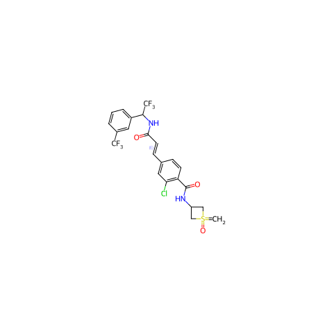 C=S1(=O)CC(NC(=O)c2ccc(/C=C/C(=O)NC(c3cccc(C(F)(F)F)c3)C(F)(F)F)cc2Cl)C1